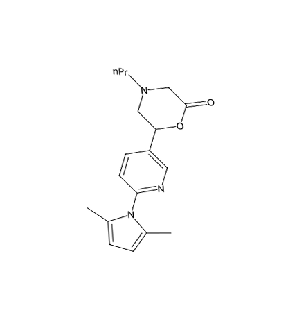 CCCN1CC(=O)OC(c2ccc(-n3c(C)ccc3C)nc2)C1